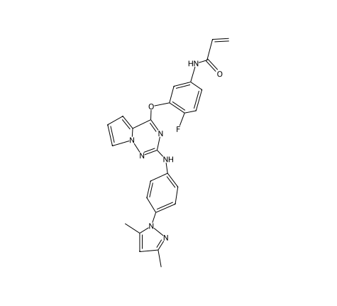 C=CC(=O)Nc1ccc(F)c(Oc2nc(Nc3ccc(-n4nc(C)cc4C)cc3)nn3cccc23)c1